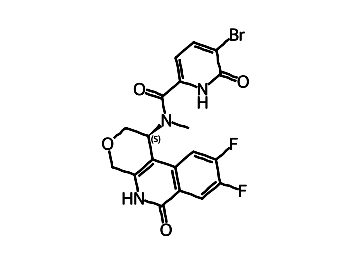 CN(C(=O)c1ccc(Br)c(=O)[nH]1)[C@@H]1COCc2[nH]c(=O)c3cc(F)c(F)cc3c21